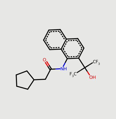 O=C(CC1CCCC1)Nc1c(C(O)(C(F)(F)F)C(F)(F)F)ccc2ccccc12